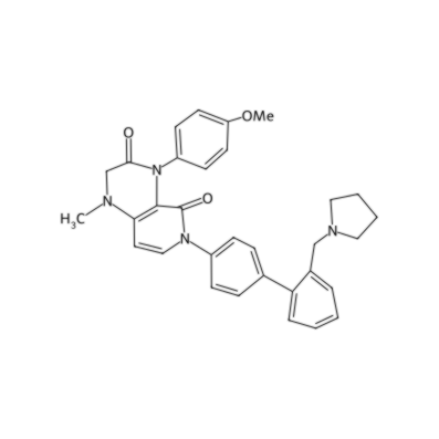 COc1ccc(N2C(=O)CN(C)c3ccn(-c4ccc(-c5ccccc5CN5CCCC5)cc4)c(=O)c32)cc1